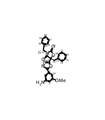 COc1cc(N)cc(-c2nnc([C@@]3(Cc4ccccc4)OC(=O)N([C@H](C)c4ccccc4)C3=O)o2)c1